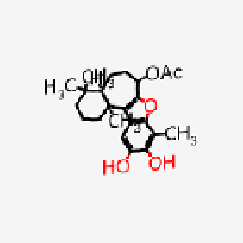 CC(=O)OC1CC[C@@H]2C(C)(C)CCC[C@@]2(C)c2c1oc1c(C)c(O)c(O)cc21